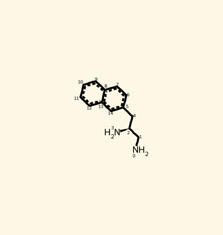 NC[C@@H](N)Cc1ccc2ccccc2c1